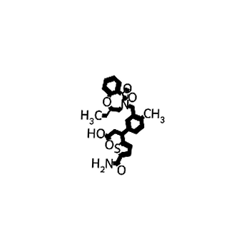 CC[C@@H]1CN(Cc2cc(C(CC(=O)O)c3ccc(C(N)=O)s3)ccc2C)S(=O)(=O)c2ccccc2O1